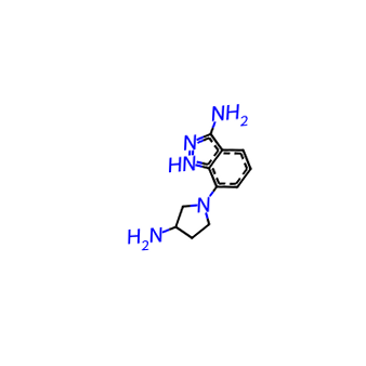 Nc1n[nH]c2c(N3CCC(N)C3)cccc12